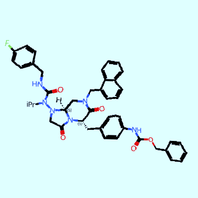 CC(C)N(C(=O)NCc1ccc(F)cc1)N1CC(=O)N2[C@@H](Cc3ccc(NC(=O)OCc4ccccc4)cc3)C(=O)N(Cc3cccc4ccccc34)C[C@@H]21